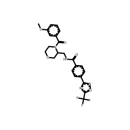 COc1cccc(C(=O)N2CCOCC2CNC(=O)c2ccc(-c3noc(C(F)(F)F)n3)cc2)c1